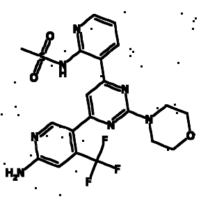 CS(=O)(=O)Nc1ncccc1-c1cc(-c2cnc(N)cc2C(F)(F)F)nc(N2CCOCC2)n1